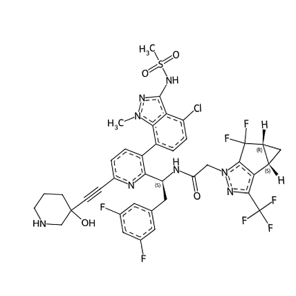 Cn1nc(NS(C)(=O)=O)c2c(Cl)ccc(-c3ccc(C#CC4(O)CCCNC4)nc3[C@H](Cc3cc(F)cc(F)c3)NC(=O)Cn3nc(C(F)(F)F)c4c3C(F)(F)[C@@H]3C[C@H]43)c21